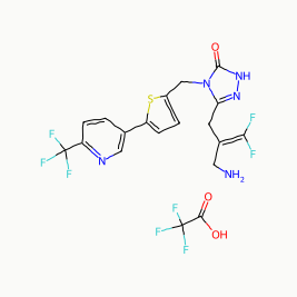 NCC(Cc1n[nH]c(=O)n1Cc1ccc(-c2ccc(C(F)(F)F)nc2)s1)=C(F)F.O=C(O)C(F)(F)F